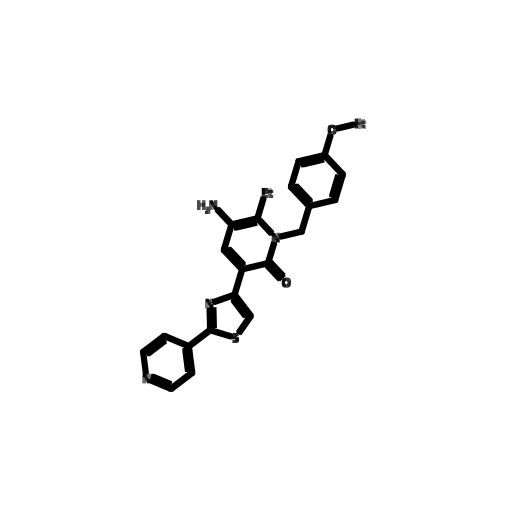 CCOc1ccc(Cn2c(CC)c(N)cc(-c3csc(-c4ccncc4)n3)c2=O)cc1